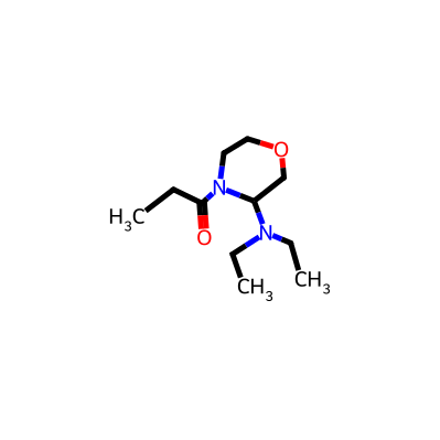 CCC(=O)N1CCOCC1N(CC)CC